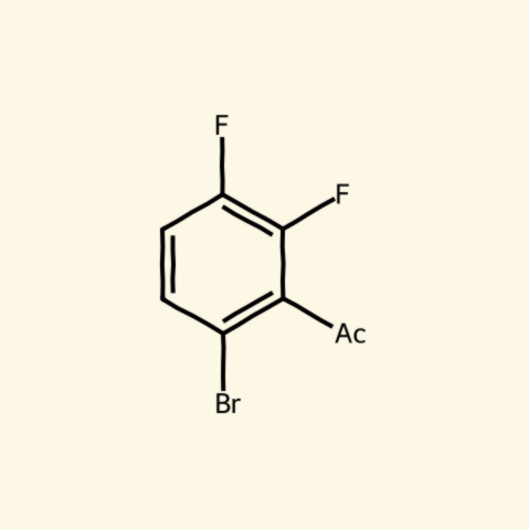 CC(=O)c1c(Br)ccc(F)c1F